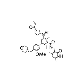 C=CC(=O)N1CCC(N(CC)c2cc(-c3ccc(CN4CCOCC4)c(OC)c3)cc(C(=O)NCc3c(C)cc(C)[nH]c3=O)c2C)C1